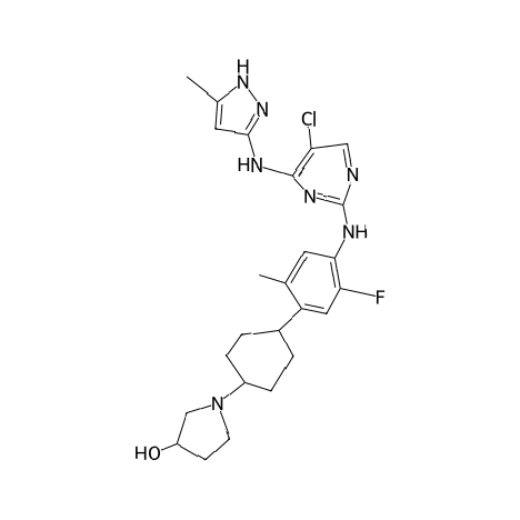 Cc1cc(Nc2nc(Nc3cc(C)c(C4CCC(N5CCC(O)C5)CC4)cc3F)ncc2Cl)n[nH]1